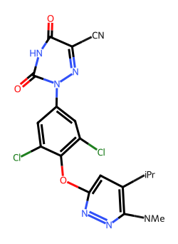 CNc1nnc(Oc2c(Cl)cc(-n3nc(C#N)c(=O)[nH]c3=O)cc2Cl)cc1C(C)C